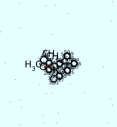 CC1(C)CCC(C)(C)c2cc(-c3cc4c(cc3N(c3ccccc3)c3cccc5c3CCCC5)C(c3ccccc3)(c3ccccc3)c3ccccc3-4)ccc21